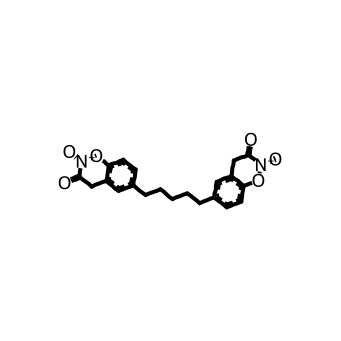 O=C1Cc2cc(CCCCCc3ccc4c(c3)CC(=O)[N+](=O)O4)ccc2O[N+]1=O